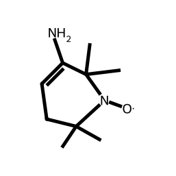 CC1(C)CC=C(N)C(C)(C)N1[O]